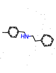 Cc1ccc(CNCCc2ccccc2)cc1